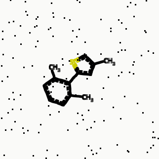 Cc1[c]sc(-c2c(C)cccc2C)c1